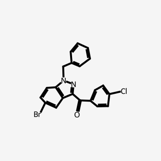 O=C(c1ccc(Cl)cc1)c1nn(Cc2ccccc2)c2ccc(Br)cc12